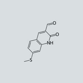 CSc1ccc2cc(C=O)c(=O)[nH]c2c1